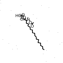 CCCCCCCCCCCCCCCCC(CC(COP(=O)(O)O)N(C)C)OC(C)=O